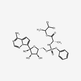 CCC(CC)C(C)OC(=O)[C@H](C)NP(=O)(OC[C@H]1O[C@@](C#N)(c2ccc3c(N)ncnn23)[C@H](O)[C@@H]1O)Oc1ccccc1